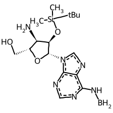 BNc1ncnc2c1ncn2[C@@H]1O[C@H](CO)[C@@H](N)[C@H]1O[Si](C)(C)C(C)(C)C